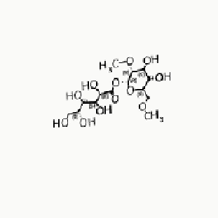 COC[C@H]1O[C@H](OC(=O)[C@H](O)[C@@H](O)[C@H](O)[C@H](O)CO)[C@H](OC)[C@@H](O)[C@@H]1O